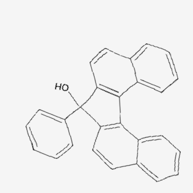 OC1(c2ccccc2)c2ccc3ccccc3c2-c2c1ccc1ccccc21